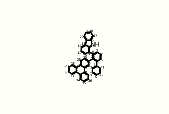 c1ccc(-c2cccc(-c3cccc4c3[nH]c3ccccc34)c2-c2ccc3c4ccccc4c4ccccc4c3c2)cc1